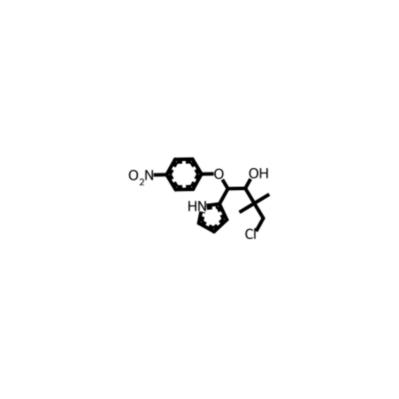 CC(C)(CCl)C(O)C(Oc1ccc([N+](=O)[O-])cc1)c1ccc[nH]1